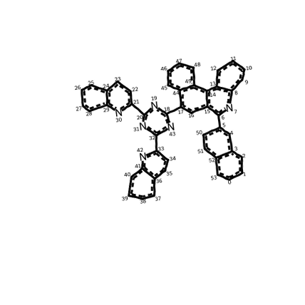 c1ccc2cc(-c3nc4ccccc4c4c3cc(-c3nc(-c5ccc6ccccc6n5)nc(-c5ccc6ccccc6n5)n3)c3ccccc34)ccc2c1